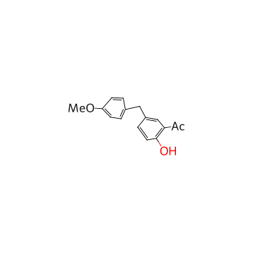 COc1ccc(Cc2ccc(O)c(C(C)=O)c2)cc1